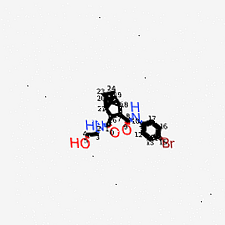 O=C(NCCO)C1C(C(=O)Nc2ccc(Br)cc2)C2CCC1C21CC1